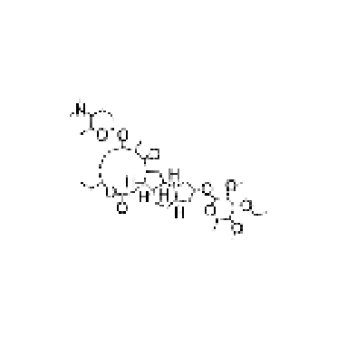 CCOC1C(OC)C(C)OC(O[C@@H]2C[C@H]3CC[C@@H]4[C@@H](C=C5C(=O)[C@H](C)C(OC6CCC(N(C)C)C(C)O6)CCC[C@H](CC)OC(=O)C[C@H]54)[C@@H]3C2)C1OC